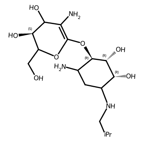 CC(C)CNC1CC(N)[C@@H](OC2=C(N)C(O)[C@H](O)C(CO)O2)[C@H](O)[C@@H]1O